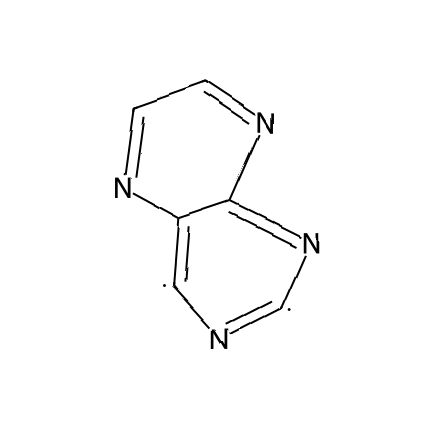 [c]1n[c]c2nccnc2n1